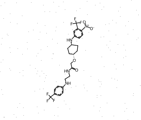 O=C(CO[C@H]1CC[C@H](Nc2ccc([N+](=O)[O-])c(C(F)(F)F)c2)CC1)NCCNc1ccc(C(F)(F)F)cc1